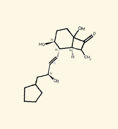 CC1C(=O)C2(O)CC[C@H](O)[C@@H](/C=C/[C@@H](O)CC3CCCC3)[C@H]12